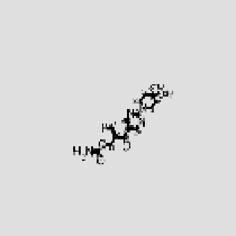 CC1(O)CCN(c2ncc(C(=O)C(=CF)COC(N)=O)cn2)CC1